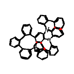 c1ccc(-c2ccccc2B2c3ccccc3N(c3ccccc3-c3ccccc3)c3cc4c5ccccc5c5ccccc5c5ccccc5n5c6ccccc6c(c32)c45)cc1